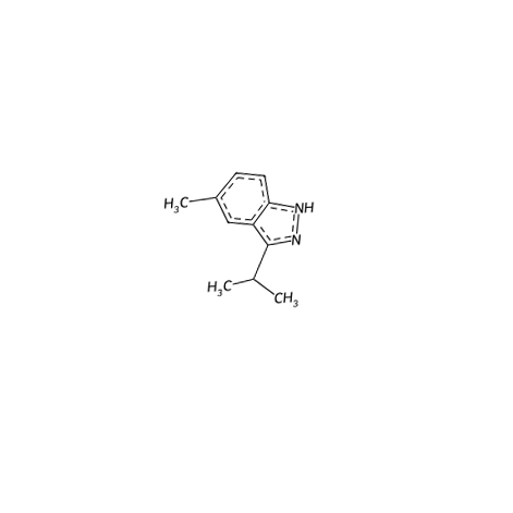 Cc1ccc2[nH]nc(C(C)C)c2c1